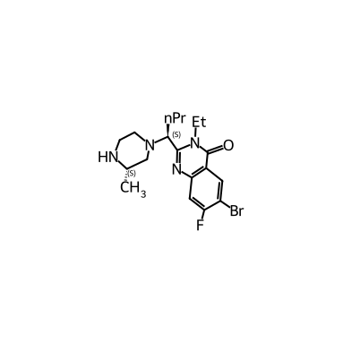 CCC[C@@H](c1nc2cc(F)c(Br)cc2c(=O)n1CC)N1CCN[C@@H](C)C1